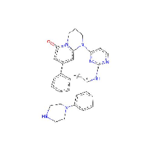 C[C@H](Nc1nccc(N2CCCn3c2cc(-c2ccccc2)cc3=O)n1)c1cccc(N2CCNCC2)c1